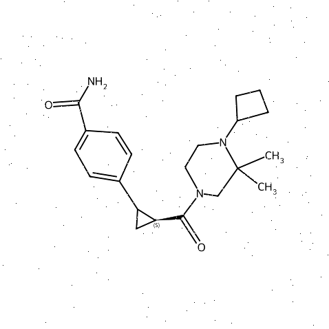 CC1(C)CN(C(=O)[C@H]2CC2c2ccc(C(N)=O)cc2)CCN1C1CCC1